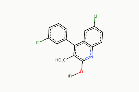 CC(C)Oc1nc2ccc(Cl)cc2c(-c2cccc(Cl)c2)c1C(=O)O